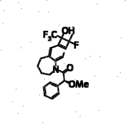 C/C=C1\C(=C/C2=CC(C)(F)C2(O)C(F)(F)F)CCCCN1C(=O)[C@@H](OC)c1ccccc1